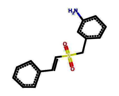 Nc1cccc(CS(=O)(=O)/C=C/c2ccccc2)c1